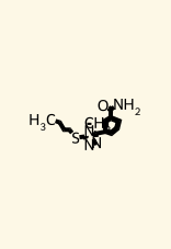 CCCCSc1nnc(-c2cccc(C(N)=O)c2)n1C